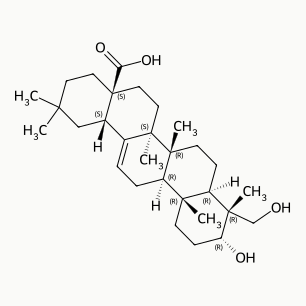 CC1(C)CC[C@]2(C(=O)O)CC[C@]3(C)C(=CC[C@@H]4[C@@]5(C)CC[C@@H](O)[C@@](C)(CO)[C@@H]5CC[C@]43C)[C@@H]2C1